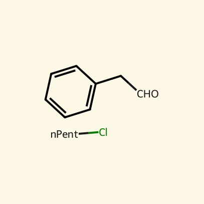 CCCCCCl.O=CCc1ccccc1